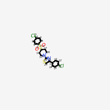 O=S(=O)(c1ccc(Cl)cc1)C1CCN(c2nc(-c3ccc(Cl)cc3)cs2)CC1